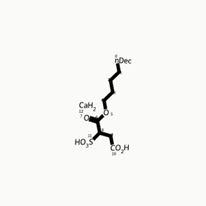 CCCCCCCCCCCCCCOC(=O)C(CC(=O)O)S(=O)(=O)O.[CaH2]